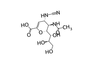 CC(=O)N[C@H]1[C@H]([C@H](O)[C@H](O)CO)OC(C(=O)O)=C[C@@H]1NC#N